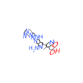 Cc1c(-c2cc3cc(Nc4cc5n(n4)Cc4nccn4CC5)ncc3c(N)n2)cnc2c1CC(O)CO2